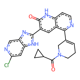 O=C(C1CC1)N1CCC=C(c2nccc3[nH]c(=O)c(-c4nc5cnc(Cl)cc5[nH]4)cc23)C1